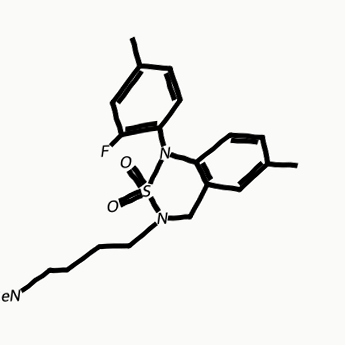 CNCCCCN1Cc2cc(C)ccc2N(c2ccc(C)cc2F)S1(=O)=O